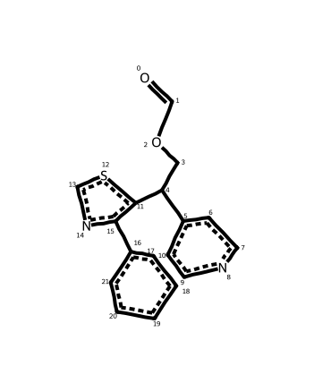 O=COCC(c1ccncc1)c1scnc1-c1ccccc1